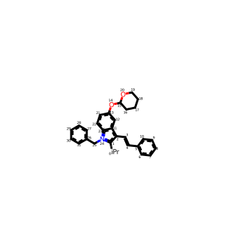 CC(C)c1c(/C=C/c2ccccc2)c2cc(OC3CCCCO3)ccc2n1Cc1ccccc1